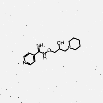 N=C(NOCC(O)CN1CCCCC1)c1ccncc1